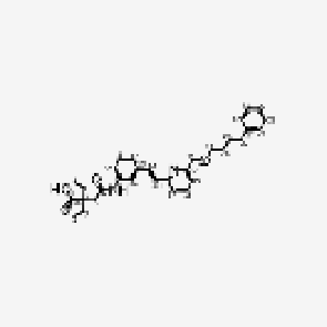 CCC(CC)(CC(=O)Nc1cccc(/C=C/c2cccc(COCCCCc3ccccc3)n2)c1)C(=O)O